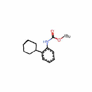 CC(C)(C)OC(=O)Nc1ccccc1C1CCCCC1